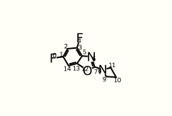 Fc1cc(F)c2nc(N3CCC3)oc2c1